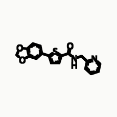 O=C(NCc1ccccn1)c1ccc(-c2ccc3c(c2)OCO3)s1